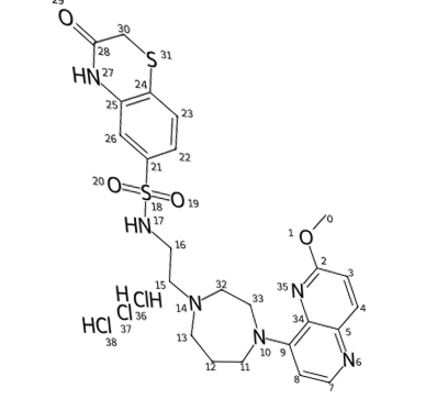 COc1ccc2nccc(N3CCCN(CCNS(=O)(=O)c4ccc5c(c4)NC(=O)CS5)CC3)c2n1.Cl.Cl.Cl